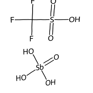 O=S(=O)(O)C(F)(F)F.[O]=[Sb]([OH])([OH])[OH]